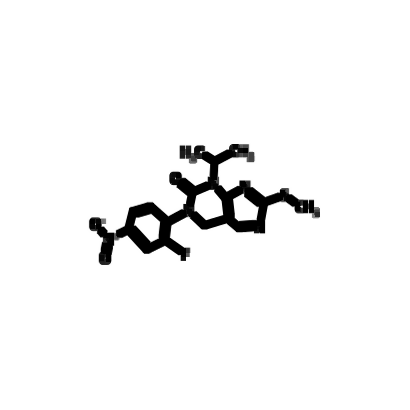 CSc1ncc2c(n1)N(C(C)C)C(=O)N(c1ccc([N+](=O)[O-])cc1F)C2